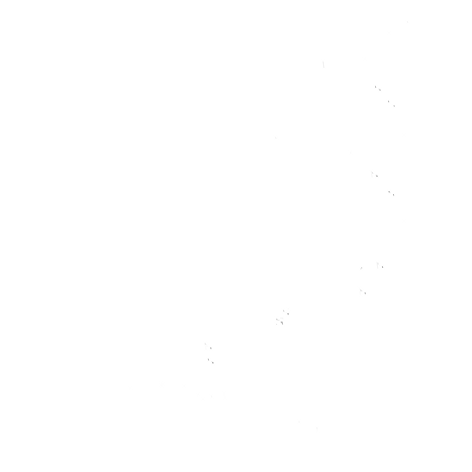 Cc1cc(NC(=O)Nc2cc(C)c(N=Nc3cc(C)c(N=Nc4ccc(C(=O)O)cc4S(=O)(=O)O)cc3OCCCS(=O)(=O)O)cc2C)c(C)cc1N=Nc1cc(C)c(N=Nc2ccc(C(=O)O)cc2S(=O)(=O)O)cc1OCCCS(=O)(=O)O